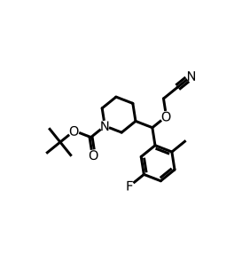 Cc1ccc(F)cc1C(OCC#N)C1CCCN(C(=O)OC(C)(C)C)C1